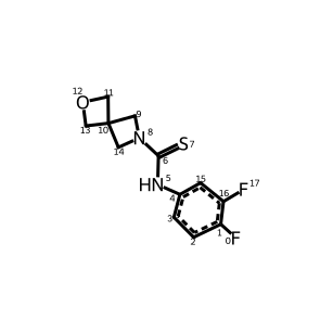 Fc1ccc(NC(=S)N2CC3(COC3)C2)cc1F